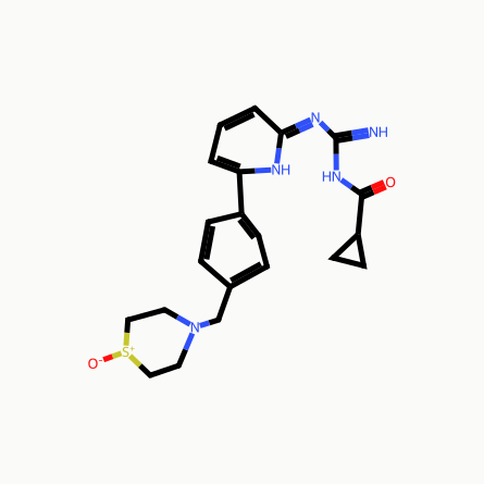 N=C(/N=c1/cccc(-c2ccc(CN3CC[S+]([O-])CC3)cc2)[nH]1)NC(=O)C1CC1